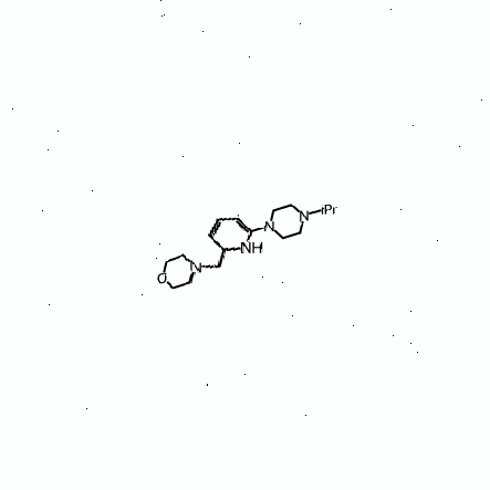 CC(C)N1CCN(C2=[C]C=CC(CN3CCOCC3)N2)CC1